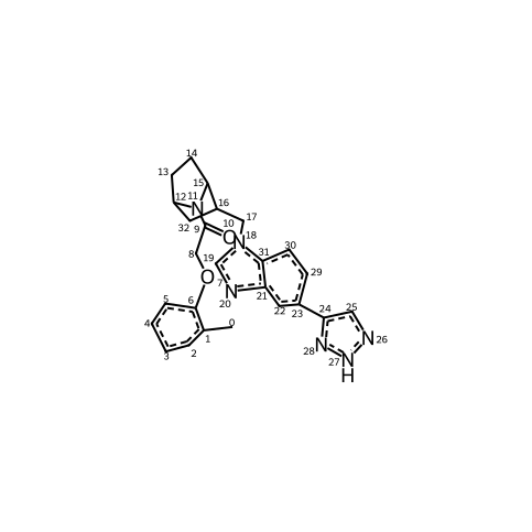 Cc1ccccc1OCC(=O)N1C2CCC1C(Cn1cnc3cc(-c4cn[nH]n4)ccc31)C2